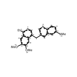 CCc1ncc(Cc2cnc3ccc(NC)cc3c2)c2cc(OC)c(OC)cc12